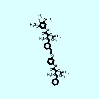 COc1cc(NC(=O)C(OC(C)C)[C@H](N)CC2CCCC(CCOc3cccc(NC(=O)C(OC(C)C)[C@H](N)CC4CCCCC4)c3)C2)cc(OC)c1OC